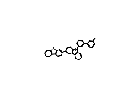 Cc1cccc(-c2cccc(-n3c4c(c5c3C=CC(c3ccc6c7c(sc6c3)CCC=C7)C5)CCC=C4)c2)c1